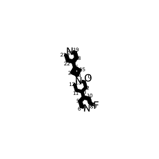 O=C1CC(c2ccnc(F)c2)CCN1C12CC(c3ccncc3)(C1)C2